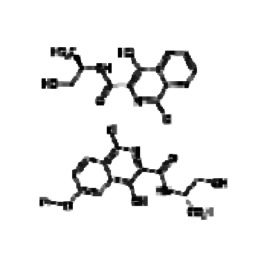 CC(C)Oc1ccc2c(Cl)nc(C(=O)N[C@H](CO)C(=O)O)c(O)c2c1.O=C(N[C@@H](CO)C(=O)O)c1nc(Cl)c2ccccc2c1O